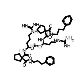 N=C(N)NCCCC(NC(=O)C1(C(=O)NCCCc2ccccc2)CCCC1)OBOC(CCCNC(=N)N)NC(=O)C1(C(=O)NCCCc2ccccc2)CCCC1